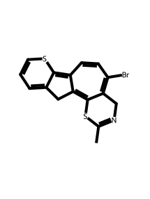 CC1=NCC2=C(Br)C=CC3=C4SC=CC=C4CC3=C2S1